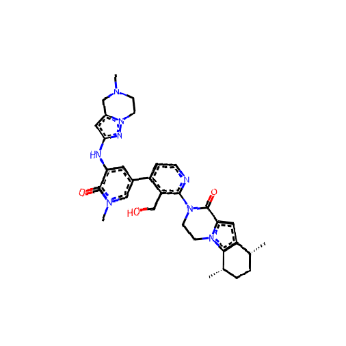 C[C@@H]1CC[C@H](C)c2c1cc1n2CCN(c2nccc(-c3cc(Nc4cc5n(n4)CCN(C)C5)c(=O)n(C)c3)c2CO)C1=O